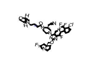 N#CC[C@H]1CN(c2nc(OC[C@@]34CCCN3C[C@H](F)C4)nc3c(F)c(-c4cccc(Cl)c4C(F)(F)F)ncc23)CCN1C(=O)/C=C/CN1C[C@H]2C[C@@H]1CO2